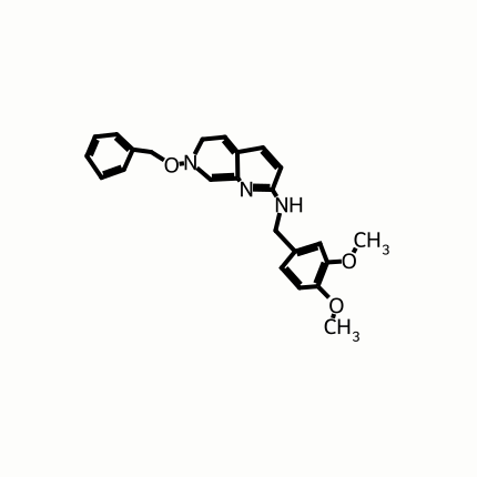 COc1ccc(CNc2ccc3c(n2)=CN(OCc2ccccc2)CC=3)cc1OC